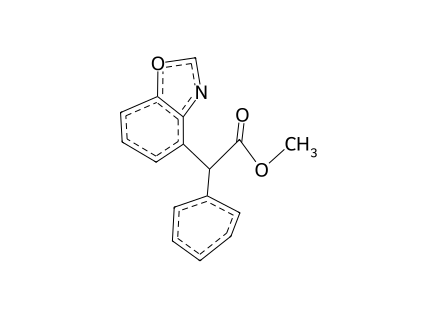 COC(=O)C(c1ccccc1)c1cccc2ocnc12